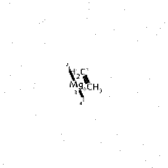 C=C.[I][Mg][I]